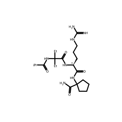 CCC(CC)(NC(=O)C(C)C)C(=O)N[C@@H](CCCNC(=N)N)C(=O)NC1(C(N)=O)CCCC1